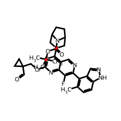 Cc1ccc2[nH]ncc2c1-c1ncc2c(N3CC4CCC(C3)N4C(=O)OC(C)(C)C)nc(OCC3(C=O)CC3)nc2c1F